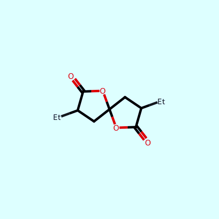 CCC1CC2(CC(CC)C(=O)O2)OC1=O